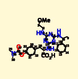 COCCNc1nc(NC(C)c2ccccc2)nc(N[C@@H](Cc2ccc(OC(=O)N(C)C)cc2)C(=O)O)n1